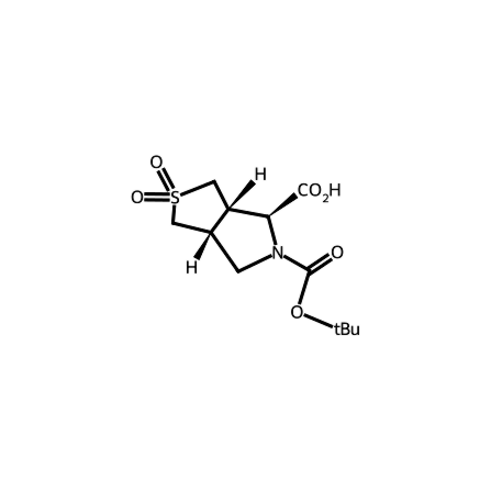 CC(C)(C)OC(=O)N1C[C@@H]2CS(=O)(=O)C[C@@H]2[C@H]1C(=O)O